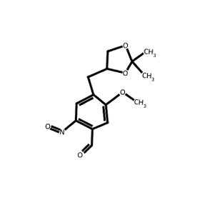 COc1cc(C=O)c(N=O)cc1CC1COC(C)(C)O1